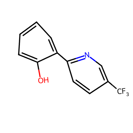 Oc1ccccc1-c1ccc(C(F)(F)F)cn1